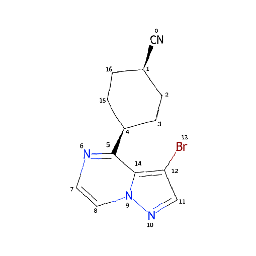 N#C[C@H]1CC[C@@H](c2nccn3ncc(Br)c23)CC1